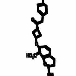 Cc1ccc(CC(=O)N2CC(Oc3ccc4c(c3C(=O)O)OB(O)CC4)C2)cc1